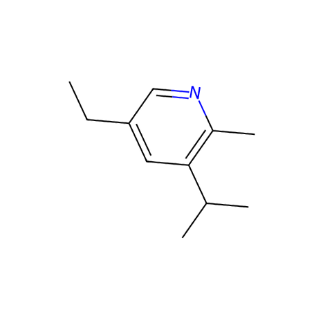 CCc1cnc(C)c(C(C)C)c1